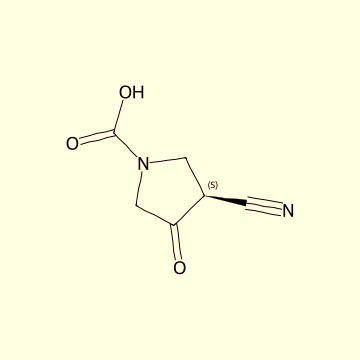 N#C[C@@H]1CN(C(=O)O)CC1=O